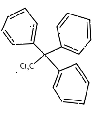 ClC(Cl)(Cl)C(c1ccccc1)(c1ccccc1)c1ccccc1